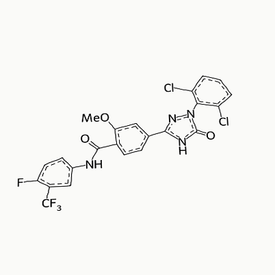 COc1cc(-c2nn(-c3c(Cl)cccc3Cl)c(=O)[nH]2)ccc1C(=O)Nc1ccc(F)c(C(F)(F)F)c1